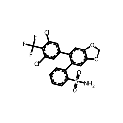 NS(=O)(=O)c1ccccc1-c1cc2c(cc1-c1cc(Cl)c(C(F)(F)F)c(Cl)c1)OCO2